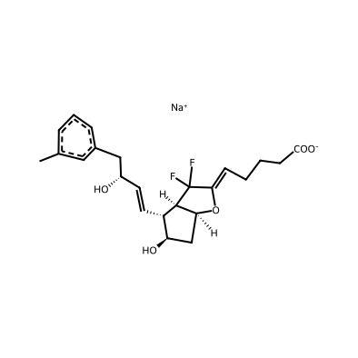 Cc1cccc(C[C@@H](O)C=C[C@@H]2[C@@H]3[C@H](C[C@H]2O)OC(=CCCCC(=O)[O-])C3(F)F)c1.[Na+]